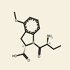 CC[C@H](N)C(=O)N1c2cccc(OC)c2C[C@H]1C(=O)O